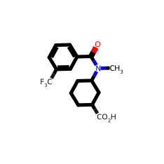 CN(C(=O)c1cccc(C(F)(F)F)c1)C1CCCC(C(=O)O)C1